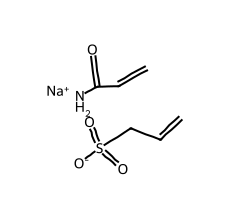 C=CC(N)=O.C=CCS(=O)(=O)[O-].[Na+]